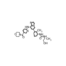 Cc1c(NC(=O)N[C@H](C)CO)cccc1-c1cc(Nc2ccc(C(=O)N3CCOCC3)cn2)c2nccn2c1